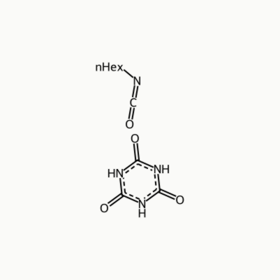 CCCCCCN=C=O.O=c1[nH]c(=O)[nH]c(=O)[nH]1